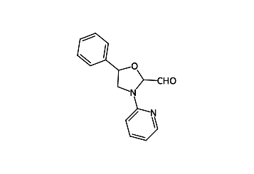 O=CC1OC(c2ccccc2)CN1c1ccccn1